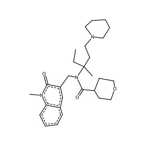 CCC(C)(CCN1CCCCC1)N(Cc1cc2ccccc2n(C)c1=O)C(=O)C1CCOCC1